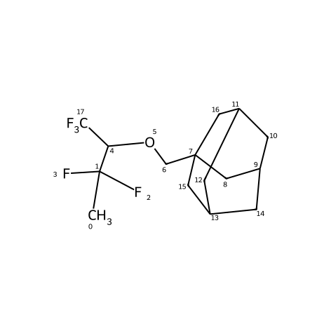 CC(F)(F)C(OCC12CC3CC(CC(C3)C1)C2)C(F)(F)F